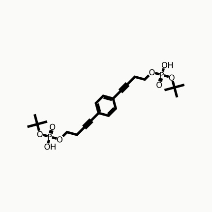 CC(C)(C)OP(=O)(O)OCCC#Cc1ccc(C#CCCOP(=O)(O)OC(C)(C)C)cc1